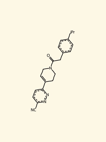 CC(C)c1ccc(CC(=O)N2CC=C(c3ccc(C#N)nn3)CC2)cc1